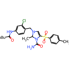 CCCCC(=O)Nc1ccc(CN2C=C(S(=O)(=O)c3ccc(C)cc3)N(C(N)=O)C2C)c(Cl)c1